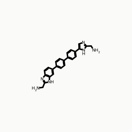 NCc1ncc(-c2ccc(-c3ccc(-c4ccc5nc(CN)[nH]c5c4)cc3)cc2)[nH]1